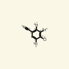 [2H]c1cc(C#N)c([2H])c([2H])c1Cl